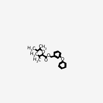 CCC(C)OC(C(=O)OCc1cccc(Oc2ccccc2)c1)C(C)C